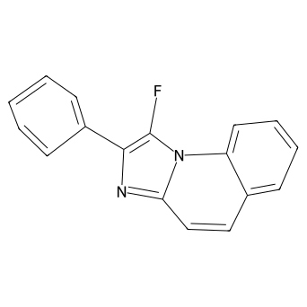 Fc1c(-c2ccccc2)nc2ccc3ccccc3n12